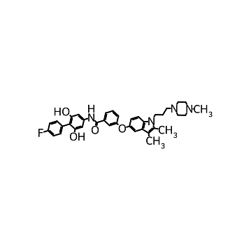 Cc1c(C)n(CCCN2CCN(C)CC2)c2ccc(Oc3cccc(C(=O)Nc4cc(O)c(-c5ccc(F)cc5)c(O)c4)c3)cc12